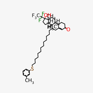 Cc1cccc(SCCCCCCCCCCCCCC2CC3=CC(=O)CC[C@]3(C)[C@@H]3CC[C@@]4(C)[C@@H](CCC4(O)C(F)(F)C(F)(F)F)[C@H]23)c1